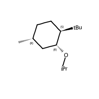 CC(C)O[C@@H]1C[C@H](C)CC[C@H]1C(C)(C)C